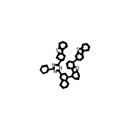 C1=CC(c2nc(-c3cc(-c4cccc5oc6c(-c7ccc8c(c7)sc7ccccc78)cccc6c45)c4ccccc4c3)nc(-c3ccc4c(c3)sc3ccccc34)n2)=CCC1